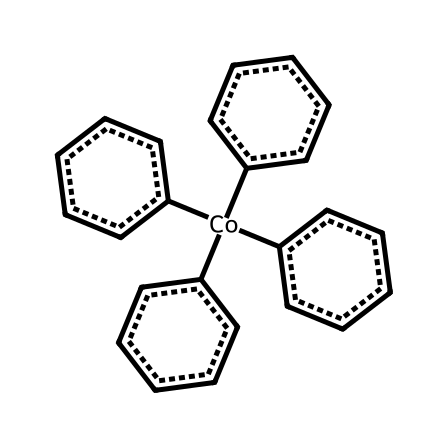 c1cc[c]([Co]([c]2ccccc2)([c]2ccccc2)[c]2ccccc2)cc1